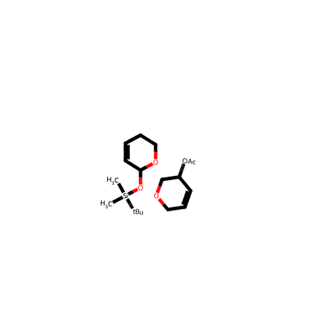 CC(=O)OC1C=CCOC1.CC(C)(C)[Si](C)(C)OC1C=CCCO1